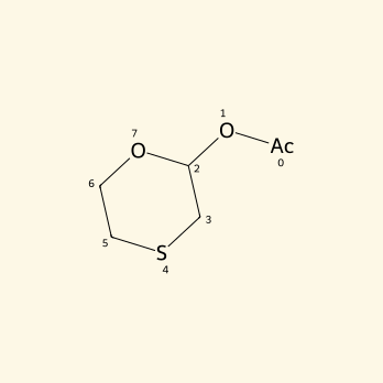 CC(=O)OC1CSCCO1